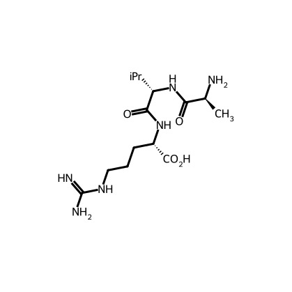 CC(C)[C@H](NC(=O)[C@H](C)N)C(=O)N[C@@H](CCCNC(=N)N)C(=O)O